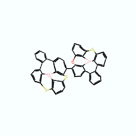 c1cc2c3c(c1)Sc1cccc4c1B3c1c(ccc(-c3ccc5c6c3Sc3cccc7c3B6c3c(cccc3-c3ccccc3-5)S7)c1O2)-c1ccccc1-4